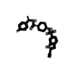 C#Cc1cc2ccc(S(=O)(=O)N[C@H]3CC[C@H](C(=O)N[C@H](C)c4ccc(F)cc4)CC3)cc2[nH]1